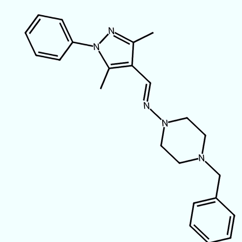 Cc1nn(-c2ccccc2)c(C)c1C=NN1CCN(Cc2ccccc2)CC1